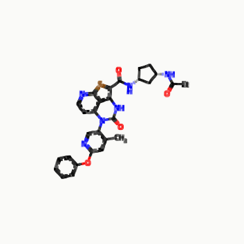 CCC(=O)N[C@H]1CC[C@@H](NC(=O)c2sc3nccc4c3c2NC(=O)N4c2cnc(Oc3ccccc3)cc2C)C1